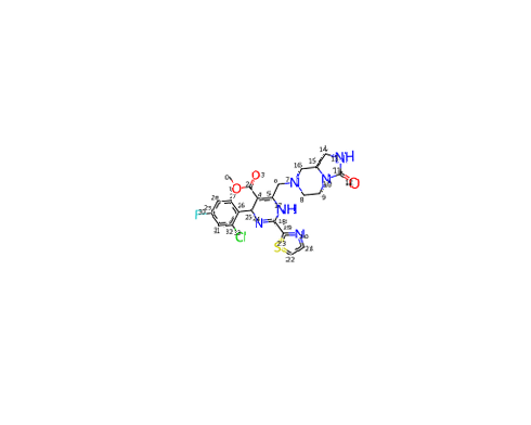 COC(=O)C1=C(CN2CCN3C(=O)NCC3C2)NC(c2nccs2)=NC1c1ccc(F)cc1Cl